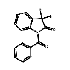 O=C(c1ccccc1)N1C(=O)C(Br)(Br)c2ccccc21